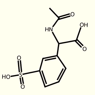 CC(=O)NC(C(=O)O)c1cccc(S(=O)(=O)O)c1